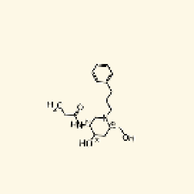 CCC(=O)N[C@H]1CN(CCCc2ccccc2)[C@H](CO)C[C@H]1O